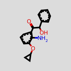 Nc1c(OC2CC2)cccc1C(=O)C(O)c1ccccc1